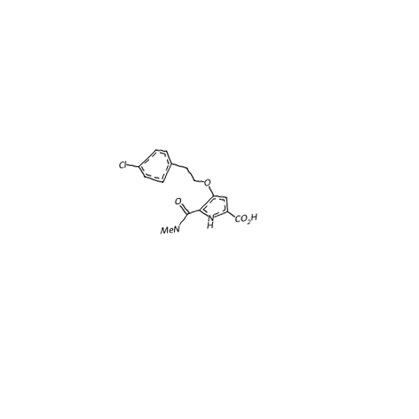 CNC(=O)c1[nH]c(C(=O)O)cc1OCCc1ccc(Cl)cc1